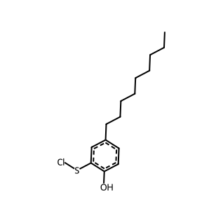 CCCCCCCCCc1ccc(O)c(SCl)c1